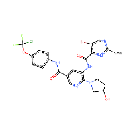 CSc1ncc(Br)c(C(=O)Nc2cc(C(=O)Nc3ccc(OC(F)(F)Cl)cc3)cnc2N2CCC(O)C2)n1